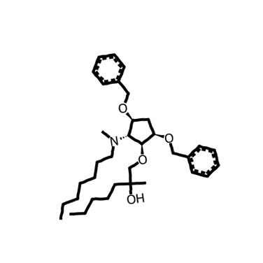 CCCCCCCN(C)[C@H]1[C@H](OCC(C)(O)CCCCC)[C@H](OCc2ccccc2)C[C@@H]1OCc1ccccc1